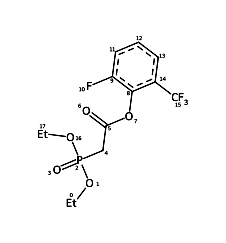 CCOP(=O)(CC(=O)Oc1c(F)cccc1C(F)(F)F)OCC